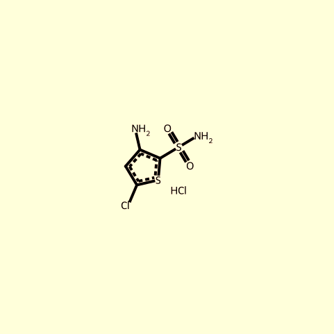 Cl.Nc1cc(Cl)sc1S(N)(=O)=O